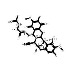 COC1=C(C)C(=O)C2=C(C1=O)[C@H](CNC(=O)[C@H](C)NC(C)=O)N1C(C2)[C@H]2c3c(cc(C)c(OC)c3O)C[C@@H](C1C#N)N2C